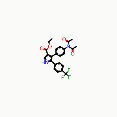 CCOC(=O)c1c[nH]c(-c2ccc(C(F)(F)F)cc2)c1-c1ccc(N(C(C)=O)C(C)=O)cc1